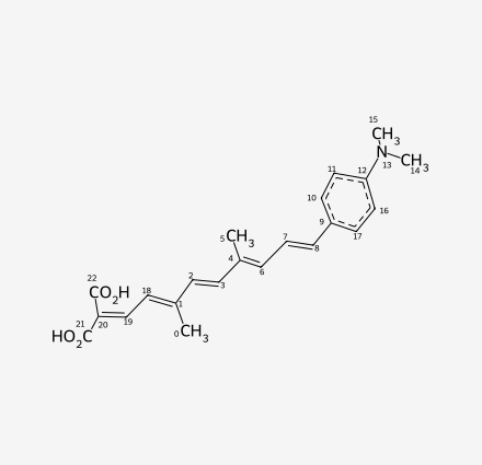 CC(/C=C/C(C)=C/C=C/c1ccc(N(C)C)cc1)=C\C=C(C(=O)O)C(=O)O